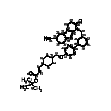 CC(C)(C)OC(=O)/N=C/C1CCC(COc2cnc(-c3cccc(Cn4c(=O)ccn5c6cc(C#N)ccc6nc45)c3)nc2)CC1